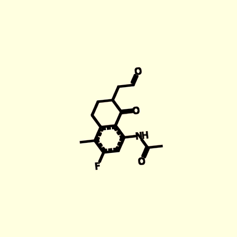 CC(=O)Nc1cc(F)c(C)c2c1C(=O)C(CC=O)CC2